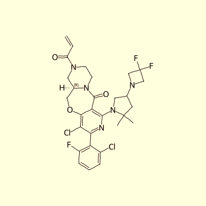 C=CC(=O)N1CCN2C(=O)c3c(N4CC(N5CC(F)(F)C5)CC4(C)C)nc(-c4c(F)cccc4Cl)c(Cl)c3OC[C@H]2C1